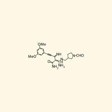 COc1cc(C#CC(=N)/C(C(N)=O)=C(/N)NCC2CCN(C=O)C2)cc(OC)c1